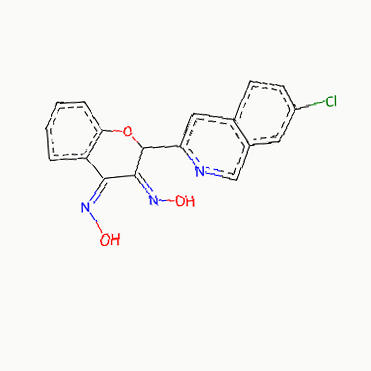 ON=C1C(=NO)C(c2cc3ccc(Cl)cc3cn2)Oc2ccccc21